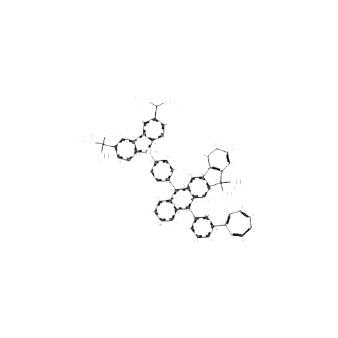 CC(C)c1ccc2c(c1)c1cc(C(C)(C)C)ccc1n2-c1ccc(-c2c3ccccc3c(-c3cccc(C4=CC=CC=C=C4)c3)c3cc4c(cc23)C2=C(C=CCC2)C4(C)C)cc1